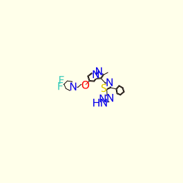 Cc1nn2ccc(OCCN3CCC(F)(F)CC3)cc2c1-c1nc(-c2ccccc2)c(-c2nc[nH]n2)s1